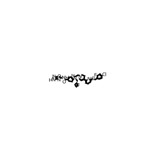 O=C(Nc1nc2[nH]cnc2o1)c1ccc2c(c1)nc(CN1CC=C(c3cccc(OCc4ccc(Cl)cc4F)n3)CC1)n2C[C@@H]1CCO1